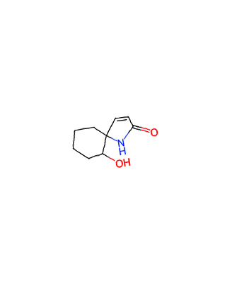 O=C1C=CC2(CCCCC2O)N1